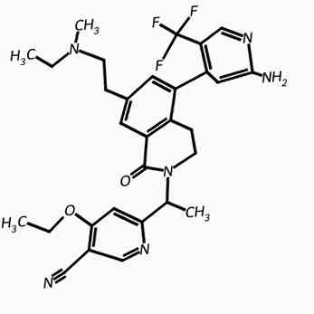 CCOc1cc(C(C)N2CCc3c(cc(CCN(C)CC)cc3-c3cc(N)ncc3C(F)(F)F)C2=O)ncc1C#N